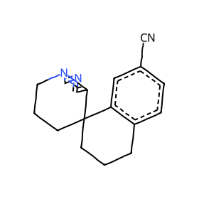 N#Cc1ccc2c(c1)C1(CCC2)CCCn2cncc21